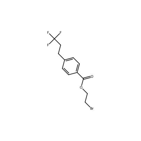 O=C(OCCBr)c1ccc(CCC(F)(F)F)cc1